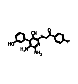 N#Cc1c(SCC(=O)c2ccc(F)cc2)nc(N)c(N)c1-c1cccc(O)c1